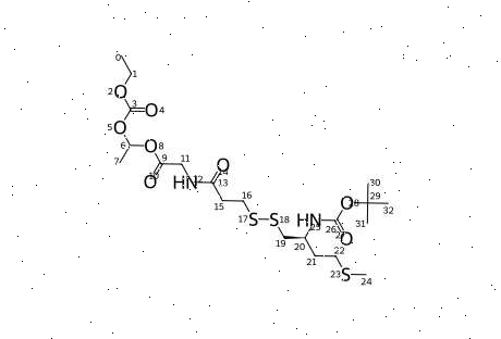 CCOC(=O)OC(C)OC(=O)CNC(=O)CCSSC[C@H](CCSC)NC(=O)OC(C)(C)C